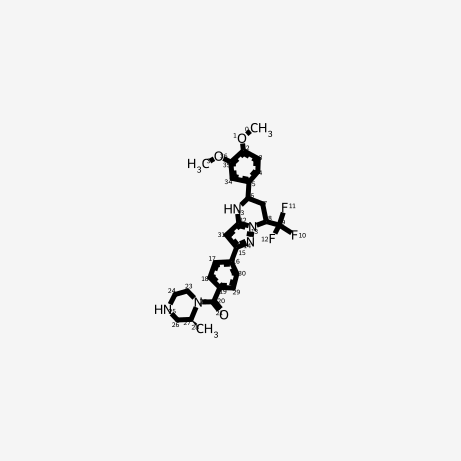 COc1ccc(C2CC(C(F)(F)F)n3nc(-c4ccc(C(=O)N5CCNC[C@H]5C)cc4)cc3N2)cc1OC